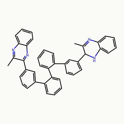 CC1=Nc2ccccc2NC1c1cccc(-c2ccccc2-c2ccccc2-c2cccc(-c3nc4ccccc4nc3C)c2)c1